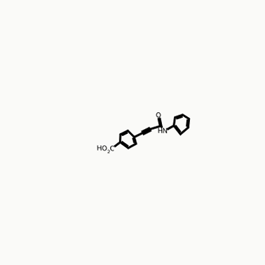 O=C(C#Cc1ccc(C(=O)O)cc1)Nc1ccccc1